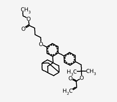 C=CC(=O)OC(C)(C)Cc1ccc(-c2ccc(OCCCC(=O)OCC)cc2C23CC4CC(CC(C4)C2)C3)cc1